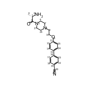 C[C@H](N)C(=O)N1CCN(CCOc2ccc(-c3ccc(C#N)cc3)cc2)CC1